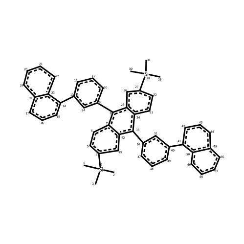 C[Si](C)(C)c1ccc2c(-c3cccc(-c4cccc5ccccc45)c3)c3cc([Si](C)(C)C)ccc3c(-c3cccc(-c4cccc5ccccc45)c3)c2c1